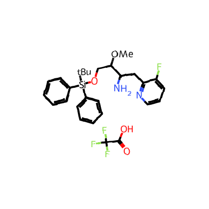 COC(CO[Si](c1ccccc1)(c1ccccc1)C(C)(C)C)C(N)Cc1ncccc1F.O=C(O)C(F)(F)F